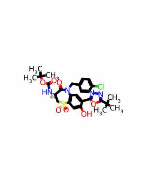 CC(C)(C)OC(=O)N[C@H]1CS(=O)(=O)c2cc(O)c(-c3nnc(C(C)(C)C)o3)cc2N(Cc2ccc(Cl)cc2)C1=O